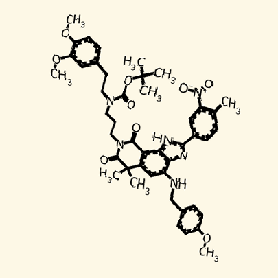 COc1ccc(CNc2cc3c(c4[nH]c(-c5ccc(C)c([N+](=O)[O-])c5)nc24)C(=O)N(CCCN(CCc2ccc(OC)c(OC)c2)C(=O)OC(C)(C)C)C(=O)C3(C)C)cc1